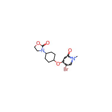 Cn1cc(Br)c(OC2CCC(N3CCOC3=O)CC2)cc1=O